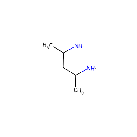 CC([NH])CC(C)[NH]